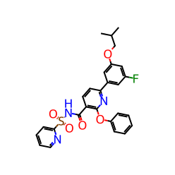 CC(C)COc1cc(F)cc(-c2ccc(C(=O)NS(=O)(=O)c3ccccn3)c(Oc3ccccc3)n2)c1